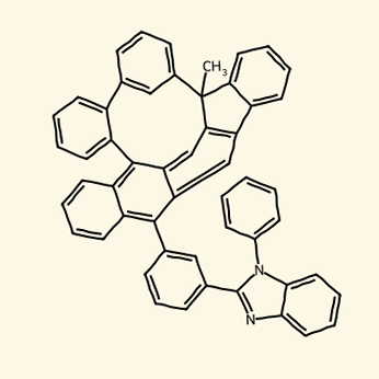 CC12c3cccc(c3)-c3ccccc3-c3c4ccccc4c(-c4cccc(-c5nc6ccccc6n5-c5ccccc5)c4)c4cc(c1cc34)-c1ccccc12